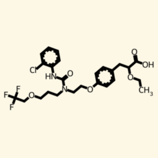 CCOC(Cc1ccc(OCCN(CCCOCC(F)(F)F)C(=O)Nc2ccccc2Cl)cc1)C(=O)O